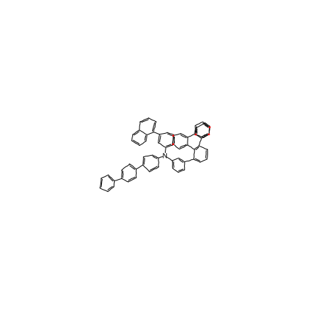 c1ccc(-c2ccc(-c3ccc(N(c4cccc(-c5cccc(-c6ccccc6)c5-c5ccccc5-c5ccccc5)c4)c4cccc(-c5cccc6ccccc56)c4)cc3)cc2)cc1